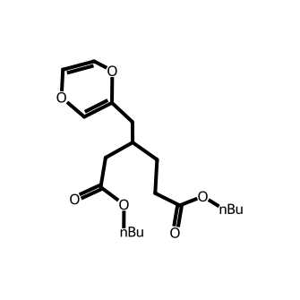 CCCCOC(=O)CCC(CC(=O)OCCCC)CC1=COC=CO1